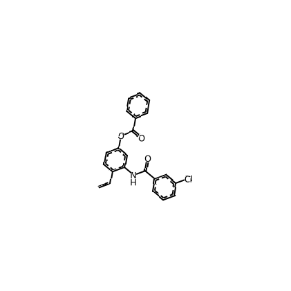 C=Cc1ccc(OC(=O)c2ccccc2)cc1NC(=O)c1cccc(Cl)c1